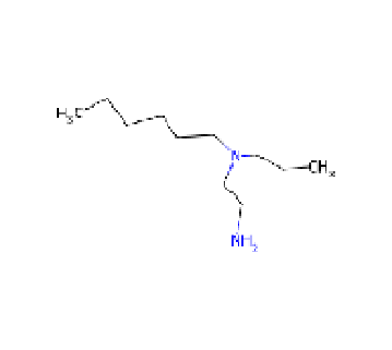 CCCCCCN(CCC)CCN